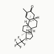 CC1=C[C@@]2(C)[C@@H](CC[C@@H]3[C@@H]2CC[C@@]2(C)[C@H]3CC[C@H]2C(F)(F)C(F)(F)F)CC1=O